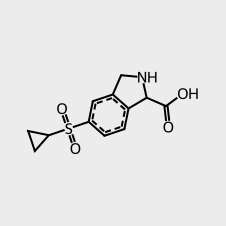 O=C(O)C1NCc2cc(S(=O)(=O)C3CC3)ccc21